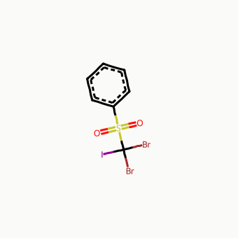 O=S(=O)(c1ccccc1)C(Br)(Br)I